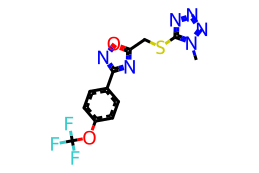 Cn1nnnc1SCc1nc(-c2ccc(OC(F)(F)F)cc2)no1